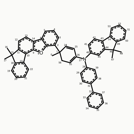 CC1(c2cccc3c2oc2c4c(ccc23)C(C)(C)c2ccccc2-4)C=CC(N(c2ccc(-c3ccccc3)cc2)c2ccc3c(c2)C(C)(C)c2ccccc2-3)=CC1